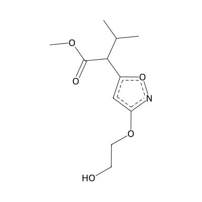 COC(=O)C(c1cc(OCCO)no1)C(C)C